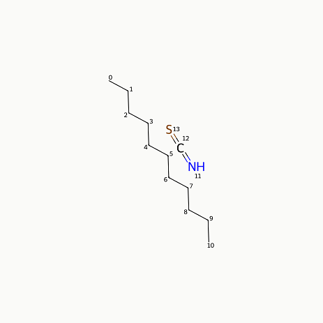 CCCCCCCCCCC.N=C=S